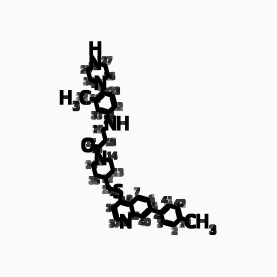 Cc1ccc(-c2ccc3c(SCC4CCN(C(=O)CCNc5ccc(N6CCNCC6)c(C)c5)CC4)ccnc3c2)cc1